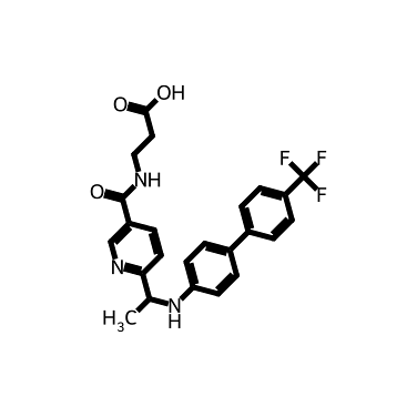 CC(Nc1ccc(-c2ccc(C(F)(F)F)cc2)cc1)c1ccc(C(=O)NCCC(=O)O)cn1